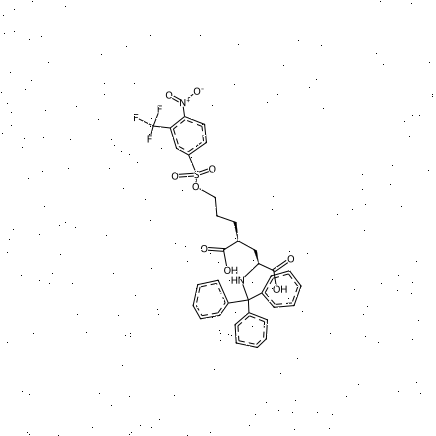 O=C(O)[C@@H](CCCOS(=O)(=O)c1ccc([N+](=O)[O-])c(C(F)(F)F)c1)C[C@H](NC(c1ccccc1)(c1ccccc1)c1ccccc1)C(=O)O